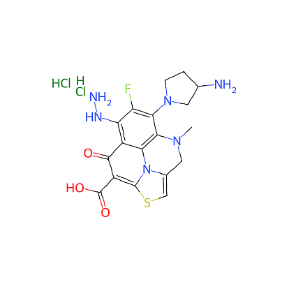 CN1Cc2csc3c(C(=O)O)c(=O)c4c(NN)c(F)c(N5CCC(N)C5)c1c4n23.Cl.Cl